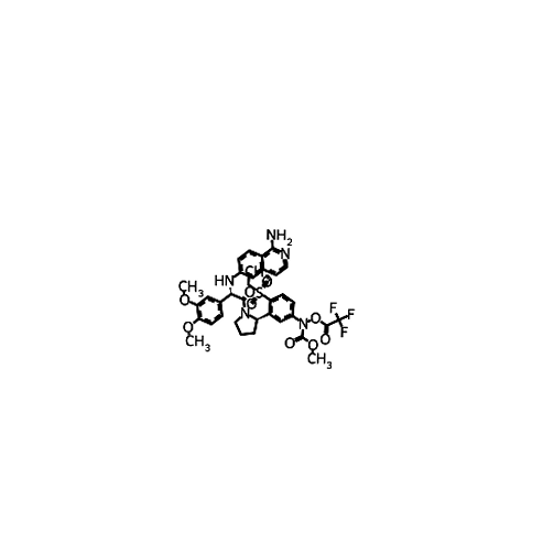 CCS(=O)(=O)c1ccc(N(OC(=O)C(F)(F)F)C(=O)OC)cc1[C@H]1CCCN1C(=O)[C@@H](Nc1ccc2c(N)nccc2c1)c1ccc(OC)c(OC)c1